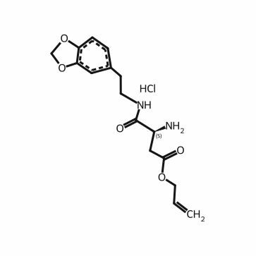 C=CCOC(=O)C[C@H](N)C(=O)NCCc1ccc2c(c1)OCO2.Cl